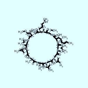 C/C=C/C[C@@H](C)[C@@H](O)C1C(=O)N[C@@H](CC)C(=O)N(C)[C@H](CCCNC)C(=O)N(C)[C@@H]([C@H](C)COC)C(=O)N[C@@H](C(C)C)C(=O)N(C)[C@@H](CC(C)C)C(=O)N[C@@H](C)C(=O)N[C@H](C)C(=O)N(C)[C@@H](CC(C)C)C(=O)N(C)[C@@H](CC(C)C)C(=O)N(C)[C@@H](C(C)C)C(=O)N1C